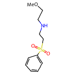 COCCNCCS(=O)(=O)c1ccccc1